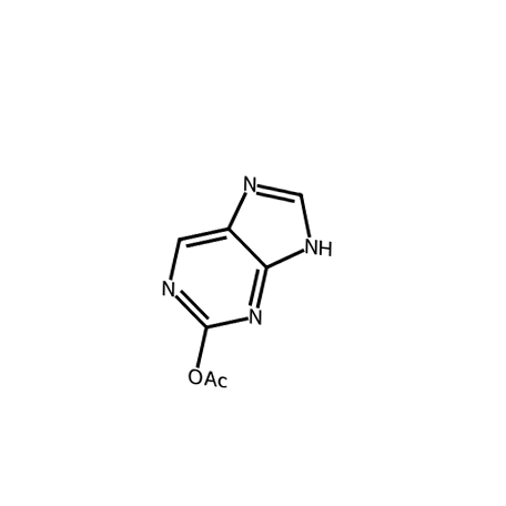 CC(=O)Oc1ncc2nc[nH]c2n1